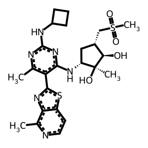 Cc1nc(NC2CCC2)nc(N[C@@H]2C[C@H](CS(C)(=O)=O)[C@@H](O)[C@@]2(C)O)c1-c1nc2c(C)nccc2s1